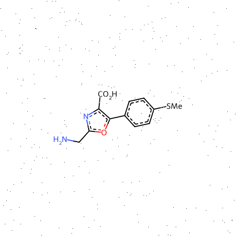 CSc1ccc(-c2oc(CN)nc2C(=O)O)cc1